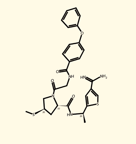 CS[C@@H]1C[C@@H](C(=O)N[C@H](C)c2cc(C(=N)N)cs2)N(C(=O)CNC(=O)c2ccc(Oc3ccccc3)cc2)C1